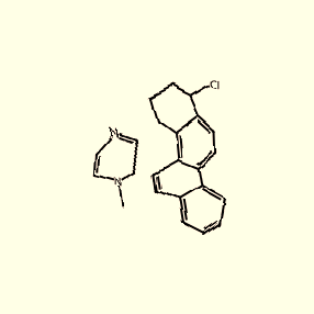 CN1C=CN=CC1.ClC1CCCc2c1ccc1c2ccc2ccccc21